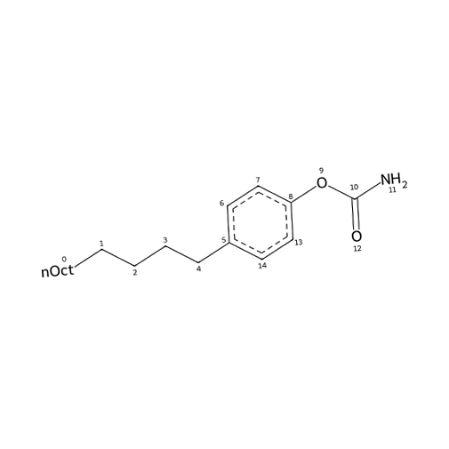 CCCCCCCCCCCCc1ccc(OC(N)=O)cc1